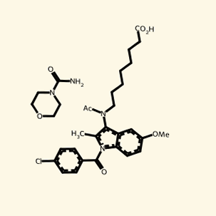 COc1ccc2c(c1)c(N(CCCCCCCC(=O)O)C(C)=O)c(C)n2C(=O)c1ccc(Cl)cc1.NC(=O)N1CCOCC1